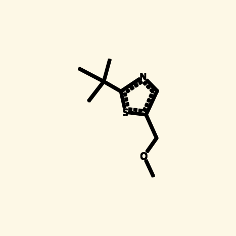 COCc1cnc(C(C)(C)C)s1